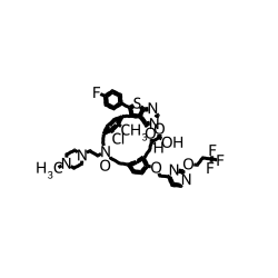 Cc1c2ccc(c1Cl)CN(CCN1CCN(C)CC1)C(=O)Cc1ccc(OCc3ccnc(OCCC(F)(F)F)n3)c(c1)C[C@H](C(=O)O)Oc1ncnc3sc(-c4ccc(F)cc4)c-2c13